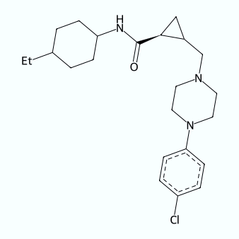 CCC1CCC(NC(=O)[C@H]2CC2CN2CCN(c3ccc(Cl)cc3)CC2)CC1